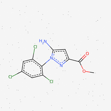 COC(=O)c1cc(N)n(-c2c(Cl)cc(Cl)cc2Cl)n1